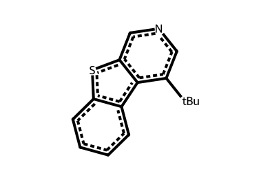 CC(C)(C)c1cncc2sc3ccccc3c12